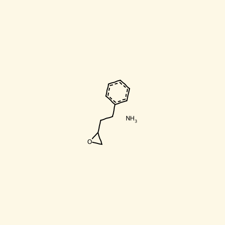 N.c1ccc(CCC2CO2)cc1